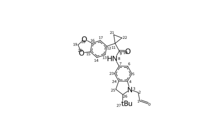 C=CCN1c2ccc(NC(=O)C3(c4ccc5c(c4)OCO5)CC3)cc2CC1C(C)(C)C